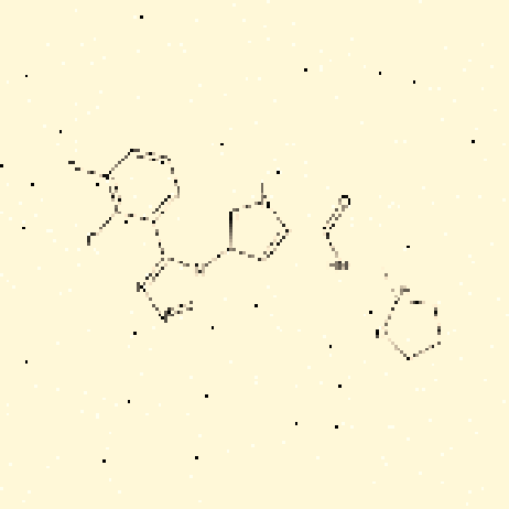 O=C(NC[C@@H]1CCCO1)c1cc(-n2cnnc2-c2cccc(F)c2F)c[nH]1